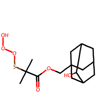 CC(C)(SOOO)C(=O)OCC12CC3CC(C1)C(O)C(C3)C2